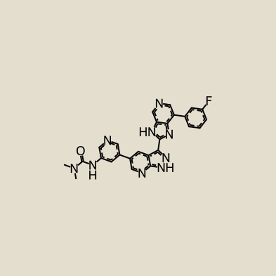 CN(C)C(=O)Nc1cncc(-c2cnc3[nH]nc(-c4nc5c(-c6cccc(F)c6)cncc5[nH]4)c3c2)c1